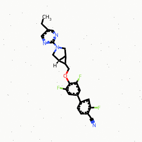 CCc1cnc(N2CC3C(COc4c(F)cc(-c5ccc(C#N)c(F)c5)cc4F)[C@@H]3C2)nc1